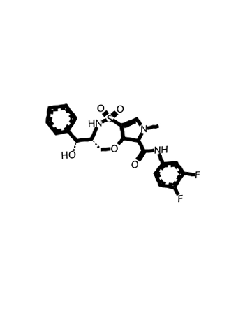 CN1C=C2C(OC[C@H]([C@H](O)c3ccccc3)NS2(=O)=O)C1C(=O)Nc1ccc(F)c(F)c1